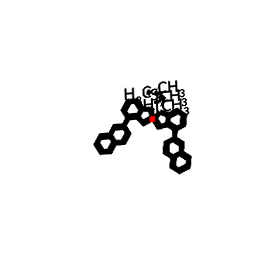 C[Si](C)=[Hf]([CH3])([CH3])([CH]1C=Cc2c(-c3ccc4ccccc4c3)cccc21)[CH]1C=Cc2c(-c3ccc4ccccc4c3)cccc21